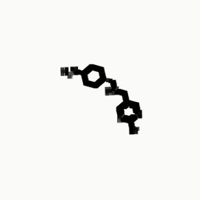 N[C@H]1CC[C@H](CNCc2cnc(Br)nc2)CC1